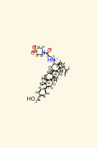 C=C(C)[C@@H]1CC[C@]2(CNCCC(=O)N3CCS(=O)(=O)CC3)CC[C@]3(C)[C@H](CC[C@@H]4[C@@]5(C)CC=C(c6ccc(C(=O)O)cc6)C(C)(C)[C@@H]5CC[C@]43C)[C@@H]12